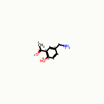 CC(=O)c1cc(CN)ccc1O